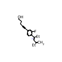 C=C(/C=C(\CC)c1ccc(C#CCCCO)cc1F)CC